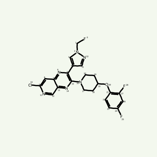 FCn1cc(-c2nc3cc(Cl)ncc3nc2N2CCC(Oc3ccc(F)cc3F)CC2)cn1